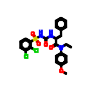 CCN(C(=O)C(Cc1ccccc1)NC(=O)NS(=O)(=O)c1cccc(Cl)c1Cl)c1ccc(OC)cc1